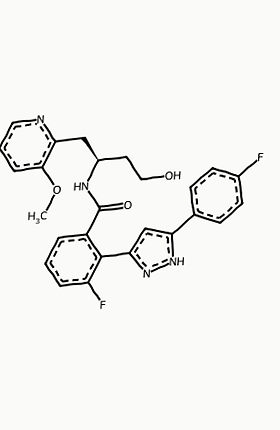 COc1cccnc1C[C@@H](CCO)NC(=O)c1cccc(F)c1-c1cc(-c2ccc(F)cc2)[nH]n1